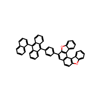 c1ccc2c(-c3c4ccccc4c(-c4ccc(-c5cc6ccc7oc8ccccc8c7c6c6c5oc5ccccc56)cc4)c4ccccc34)cccc2c1